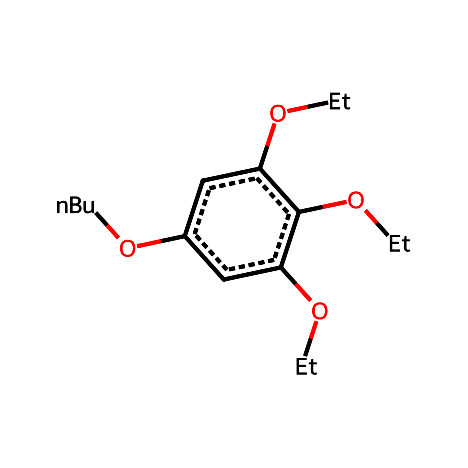 [CH2]CCCOc1cc(OCC)c(OCC)c(OCC)c1